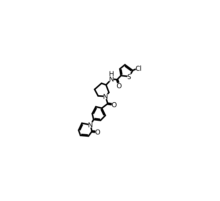 O=C(NC1CCCN(C(=O)c2ccc(-n3ccccc3=O)cc2)C1)c1ccc(Cl)s1